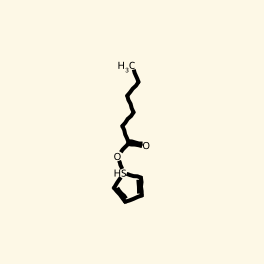 CCCCCC(=O)O[SH]1C=CC=C1